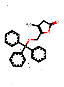 CC1=C(COC(c2ccccc2)(c2ccccc2)c2ccccc2)OC(=O)C1